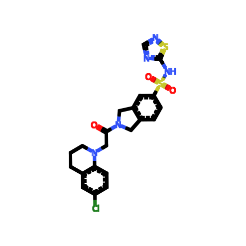 O=C(CN1CCCc2cc(Cl)ccc21)N1Cc2ccc(S(=O)(=O)Nc3ncns3)cc2C1